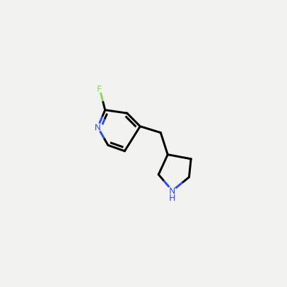 Fc1cc(CC2CCNC2)ccn1